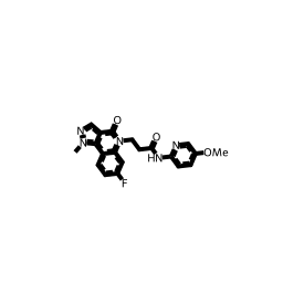 COc1ccc(NC(=O)CCn2c(=O)c3cnn(C)c3c3ccc(F)cc32)nc1